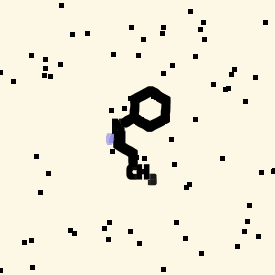 CC/C=N\C1CCCCC1